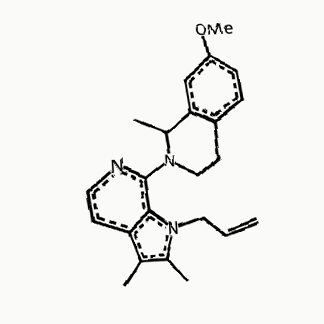 C=CCn1c(C)c(C)c2ccnc(N3CCc4ccc(OC)cc4C3C)c21